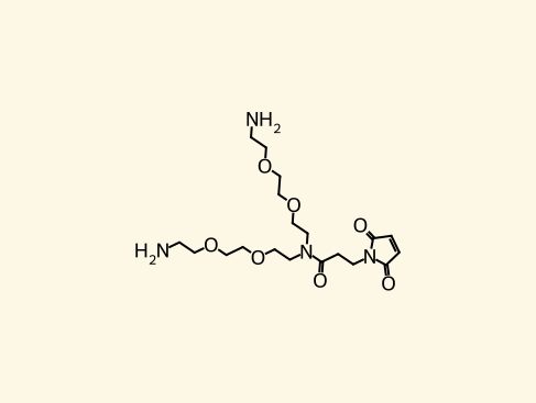 NCCOCCOCCN(CCOCCOCCN)C(=O)CCN1C(=O)C=CC1=O